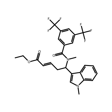 CCOC(=O)C=CCC(c1cn(C)c2ccccc12)N(C)C(=O)c1cc(C(F)(F)F)cc(C(F)(F)F)c1